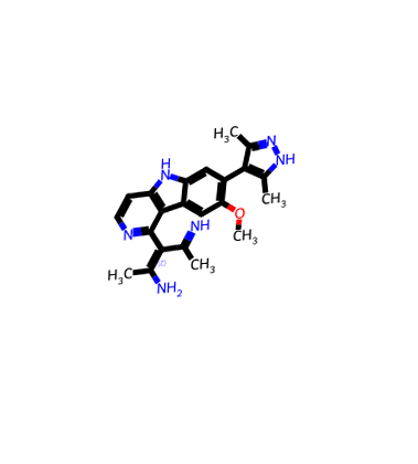 COc1cc2c(cc1-c1c(C)n[nH]c1C)[nH]c1ccnc(/C(C(C)=N)=C(\C)N)c12